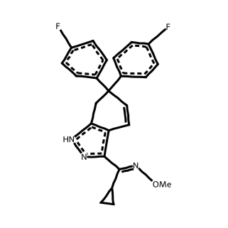 CON=C(c1n[nH]c2c1C=CC(c1ccc(F)cc1)(c1ccc(F)cc1)C2)C1CC1